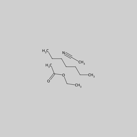 CC#N.CCCCCCC.CCOC(C)=O